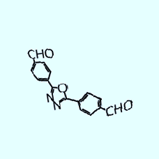 O=Cc1ccc(-c2nnc(-c3ccc(C=O)cc3)o2)cc1